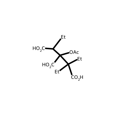 CCC(C(=O)O)C(OC(C)=O)(C(=O)O)C(CC)(CC)C(=O)O